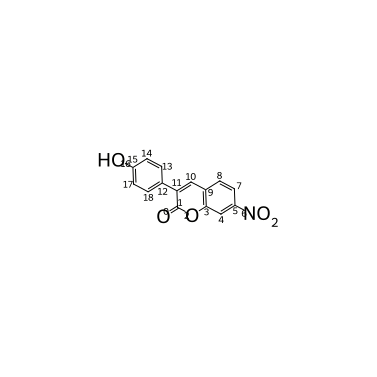 O=c1oc2cc([N+](=O)[O-])ccc2cc1-c1ccc(O)cc1